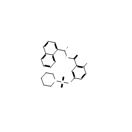 Cc1ccc(NS(=O)(=O)N2CCCCC2)cc1C(=O)N[C@H](C)c1cccc2ccccc12